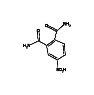 NC(=O)c1ccc(S(=O)(=O)O)cc1C(N)=O